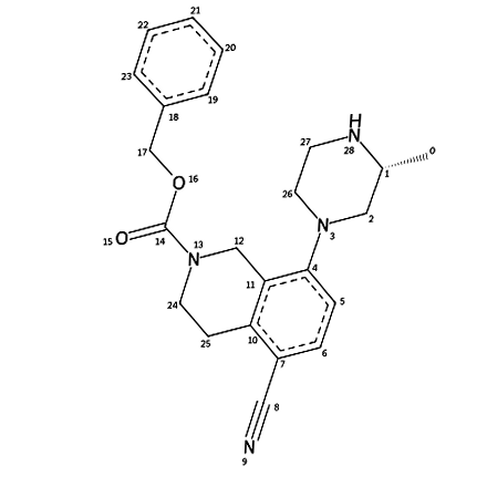 C[C@@H]1CN(c2ccc(C#N)c3c2CN(C(=O)OCc2ccccc2)CC3)CCN1